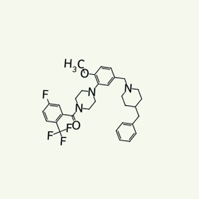 COc1ccc(CN2CCC(Cc3ccccc3)CC2)cc1N1CCN(C(=O)c2cc(F)ccc2C(F)(F)F)CC1